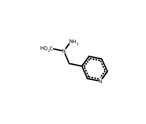 NN(Cc1cccnc1)C(=O)O